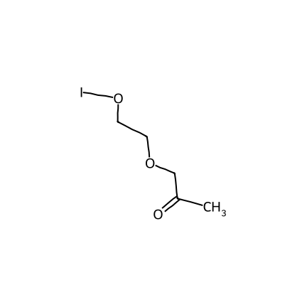 CC(=O)COCCOI